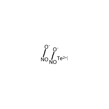 O=N[O-].O=N[O-].[Te+2]